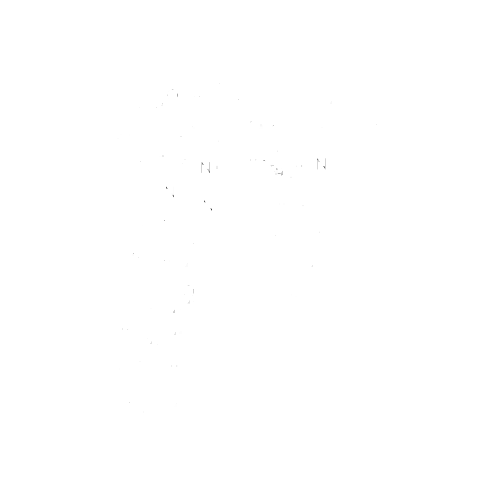 c1ccc(-c2cccc(-n3c4ccccc4c4cc(-c5ccc6oc7cccc(-c8nc(-c9ccccc9)nc(-c9ccc%10c(c9)oc9cc(-c%11ccccc%11)ccc9%10)n8)c7c6c5)ccc43)c2)cc1